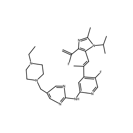 C=C(F)c1nc(C)n(C(C)C)c1/C=C(\C)c1cc(Nc2ncc(CN3CCN(CC)CC3)cn2)ncc1F